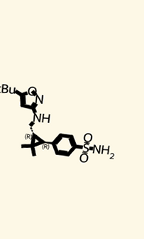 CC(C)(C)c1cc(NC[C@@H]2[C@@H](c3ccc(S(N)(=O)=O)cc3)C2(C)C)no1